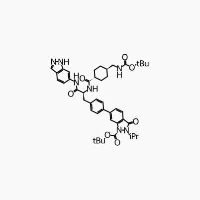 CC(C)n1c(=O)c2ccc(-c3ccc(C[C@H](NC(=O)[C@H]4CC[C@H](CNC(=O)OC(C)(C)C)CC4)C(=O)Nc4ccc5cn[nH]c5c4)cc3)cc2n1C(=O)OC(C)(C)C